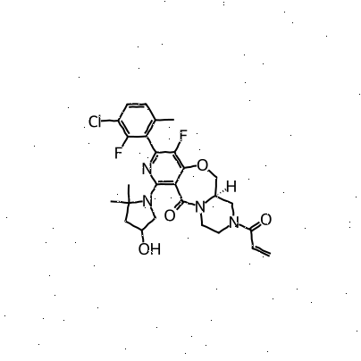 C=CC(=O)N1CCN2C(=O)c3c(N4CC(O)CC4(C)C)nc(-c4c(C)ccc(Cl)c4F)c(F)c3OC[C@H]2C1